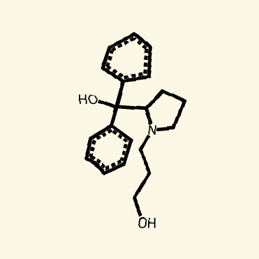 OCCCN1CCCC1C(O)(c1ccccc1)c1ccccc1